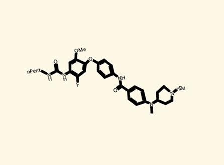 CCCCCNC(=O)Nc1cc(OC)c(Oc2ccc(NC(=O)c3ccc(N(C)C4CCN(CCCC)CC4)cc3)cc2)cc1F